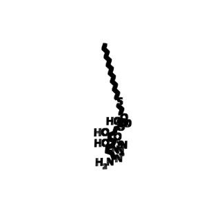 CCCCCCCCCCCCCCSCCCOP(=O)(O)OCC1O[C@@](C#N)(c2ccc3c(N)ncnn23)[C@H](O)[C@@H]1O